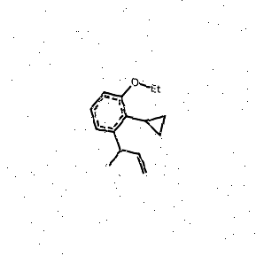 [CH2]C(C=C)c1cccc(OCC)c1C1CC1